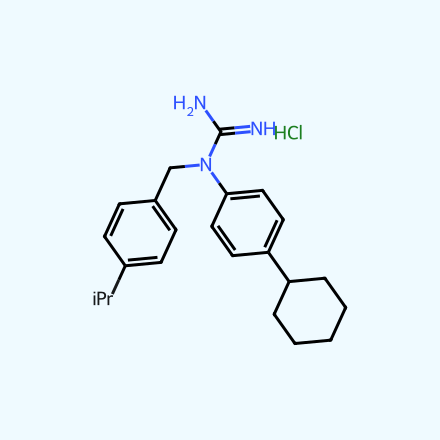 CC(C)c1ccc(CN(C(=N)N)c2ccc(C3CCCCC3)cc2)cc1.Cl